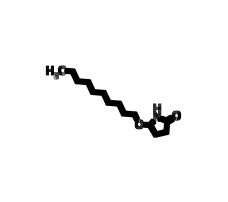 CCCCCCCCCCOC1CCC(=O)N1